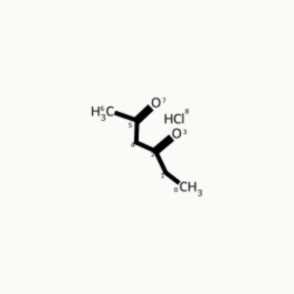 CCC(=O)CC(C)=O.Cl